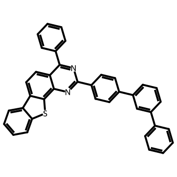 c1ccc(-c2cccc(-c3ccc(-c4nc(-c5ccccc5)c5ccc6c7ccccc7sc6c5n4)cc3)c2)cc1